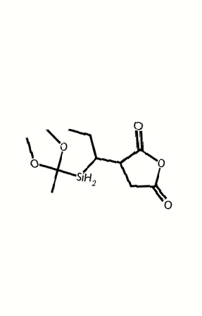 CCC([SiH2]C(C)(OC)OC)C1CC(=O)OC1=O